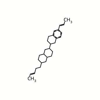 CC=CCCC1CCC2CC(C3CCc4cc(C=CC)ccc4C3)CCC2C1